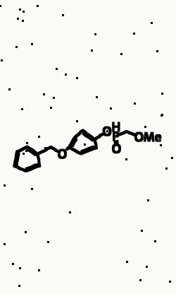 COC[PH](=O)Oc1ccc(OCc2ccccc2)cc1